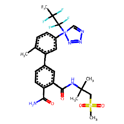 Cc1ccc([N+]2(C(F)(F)C(F)(F)C(F)(F)F)C=NN=N2)cc1-c1ccc(C(N)=O)c(C(=O)NC(C)(C)CS(C)(=O)=O)c1